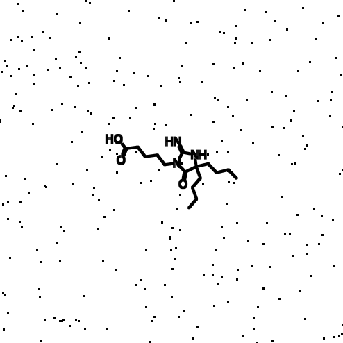 CCCCC1(CCCC)NC(=N)N(CCCCC(=O)O)C1=O